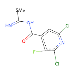 CSC(=N)NC(=O)c1cc(Cl)nc(Cl)c1F